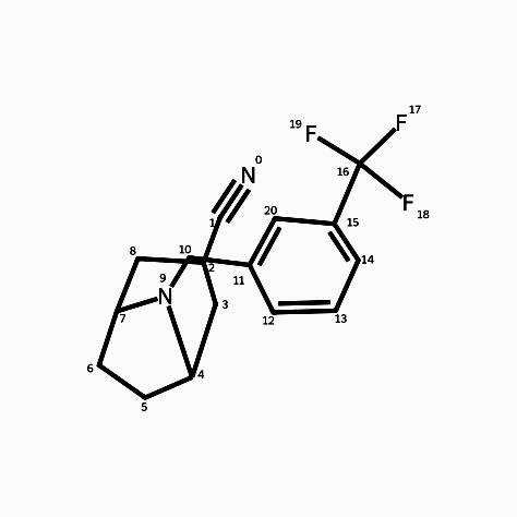 N#CC1CC2CCC(C1)N2Cc1cccc(C(F)(F)F)c1